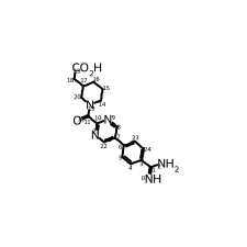 N=C(N)c1ccc(-c2cnc(C(=O)N3CCCC(CC(=O)O)C3)nc2)cc1